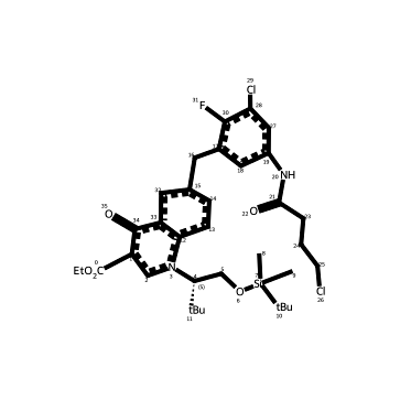 CCOC(=O)c1cn([C@H](CO[Si](C)(C)C(C)(C)C)C(C)(C)C)c2ccc(Cc3cc(NC(=O)CCCCl)cc(Cl)c3F)cc2c1=O